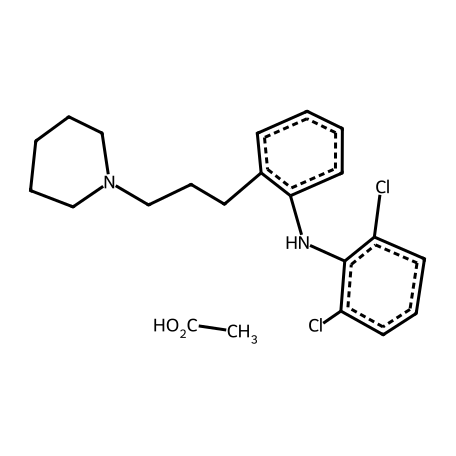 CC(=O)O.Clc1cccc(Cl)c1Nc1ccccc1CCCN1CCCCC1